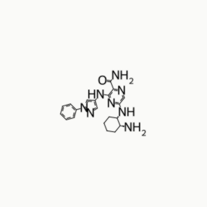 NC(=O)c1ncc(N[C@@H]2CCCC[C@@H]2N)nc1Nc1cnn(-c2ccccc2)c1